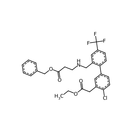 CCOC(=O)Cc1cc(-c2ccc(C(F)(F)F)cc2CNCCC(=O)OCc2ccccc2)ccc1Cl